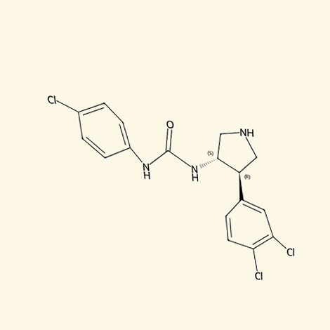 O=C(Nc1ccc(Cl)cc1)N[C@@H]1CNC[C@H]1c1ccc(Cl)c(Cl)c1